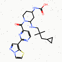 CC(C)(CNC1CC(NC(=O)O)CCN1C(=O)c1ccnc(-c2cnn3ccsc23)n1)CC1CC1